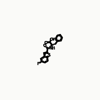 O=C(N[C@H](Cc1ccccc1)C(=O)O)c1cc2cc(F)ccc2s1